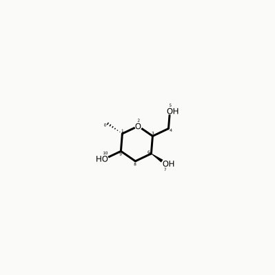 C[C@@H]1OC(CO)[C@@H](O)CC1O